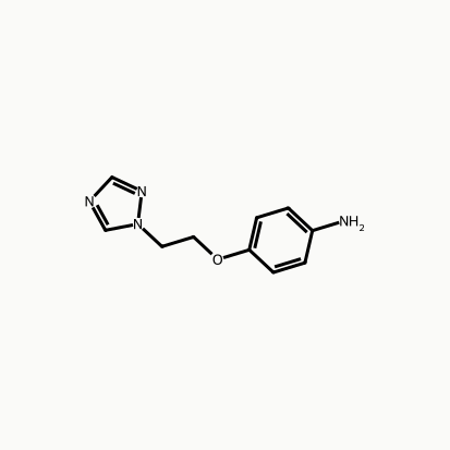 Nc1ccc(OCCn2cncn2)cc1